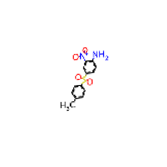 Cc1ccc(S(=O)(=O)c2ccc(N)c([N+](=O)[O-])c2)cc1